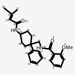 COc1ccccc1C(=O)NCC1(c2ccccc2)CCC(NC(=O)C=C(C)C)CC1